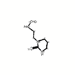 O=[C]NCCN1CCCNC1=O